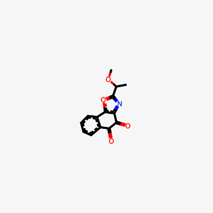 COC(C)c1nc2c(o1)-c1ccccc1C(=O)C2=O